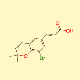 CC1(C)C=Cc2cc(/C=C/C(=O)O)cc(Br)c2O1